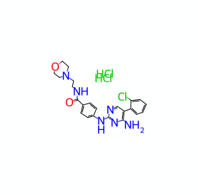 Cl.Cl.Nc1nc(Nc2ccc(C(=O)NCCN3CCOCC3)cc2)ncc1-c1ccccc1Cl